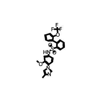 COc1cc(NS(=O)(=O)c2ccccc2-c2ccccc2OC(F)(F)F)ccc1-n1cnc(C)c1